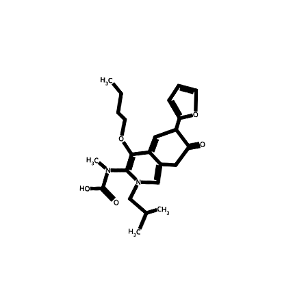 CCCCOC1=C(N(C)C(=O)O)N(CC(C)C)C=C2CC(=O)C(c3ccco3)C=C21